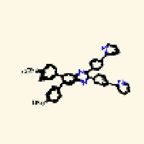 CC(C)(C)c1ccc(-c2cc3nc(-c4ccc(-c5ccccn5)cc4)c(-c4ccc(-c5ccccn5)cc4)nc3cc2-c2ccc(C(C)(C)C)cc2)cc1